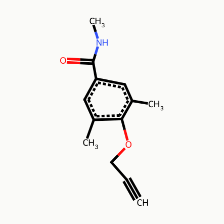 C#CCOc1c(C)cc(C(=O)NC)cc1C